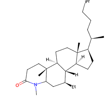 CC[C@H]1CC2N(C)C(=O)CC[C@]2(C)[C@H]2CC[C@]3(C)[C@@H]([C@H](C)CCCC(C)C)CC[C@H]3[C@H]12